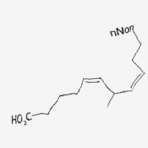 CCCCCCCCCCC/C=C\C(C)/C=C\CCCC(=O)O